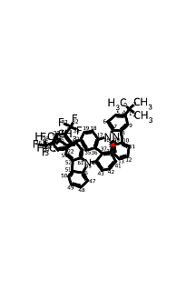 CC(C)(C)c1ccc2c(c1)c1ccccc1n2-c1ccc(-c2ccc(C(F)(F)F)cc2C(F)(F)F)cc1-c1c(C#N)cccc1-n1c2ccccc2c2cc(C(C)(C)C)ccc21